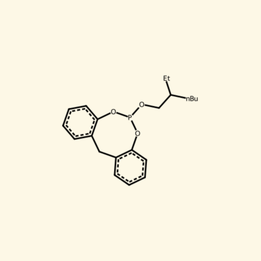 CCCCC(CC)COP1Oc2ccccc2Cc2ccccc2O1